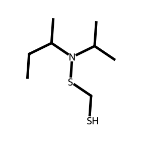 CCC(C)N(SCS)C(C)C